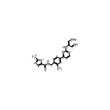 CN/C=C(\C=N)Nc1nccc(-c2ccc(CNC(=O)c3cnc(C(F)(F)F)s3)c(C)c2)n1